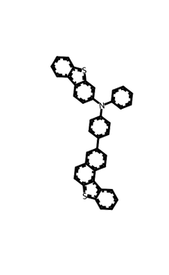 c1ccc(N(c2ccc(-c3ccc4c(ccc5sc6ccccc6c54)c3)cc2)c2ccc3c(c2)sc2ccccc23)cc1